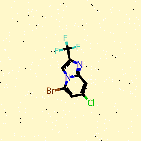 FC(F)(F)c1cn2c(Br)cc(Cl)cc2n1